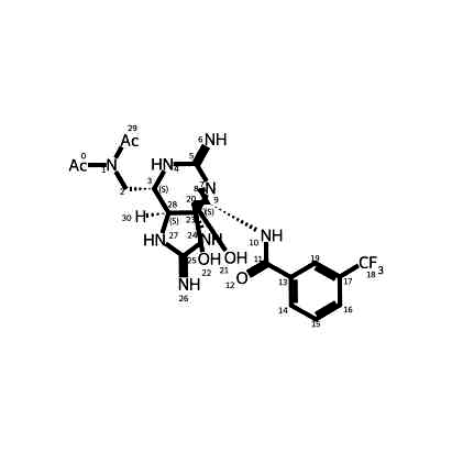 CC(=O)N(C[C@@H]1NC(=N)N2C[C@H](NC(=O)c3cccc(C(F)(F)F)c3)C(O)(O)[C@@]23NC(=N)N[C@@H]13)C(C)=O